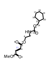 COC(=O)/C=C/C(=O)OCCNC(=O)OCC1CCCCC1